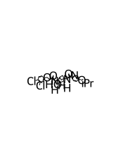 CC(C)Oc1ccc(C(=O)NC23CC(=C(NC(=O)COc4ccc(Cl)c(Cl)c4)[C@@H](O)C2)C3)nc1